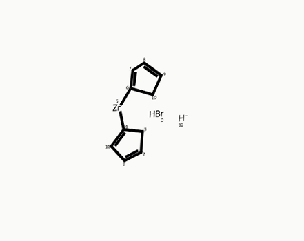 Br.C1=CC[C]([Zr][C]2=CC=CC2)=C1.[H-]